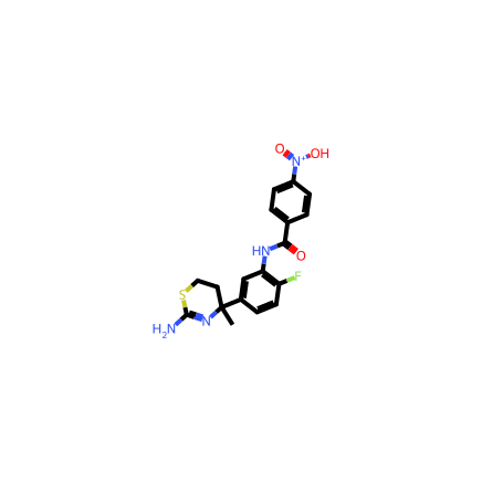 CC1(c2ccc(F)c(NC(=O)c3ccc([N+](=O)O)cc3)c2)CCSC(N)=N1